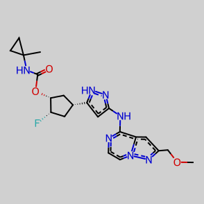 COCc1cc2c(Nc3cc([C@@H]4C[C@H](F)[C@H](OC(=O)NC5(C)CC5)C4)[nH]n3)nccn2n1